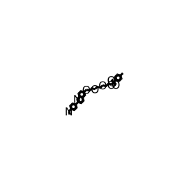 Cc1ccc(S(=O)(=O)OCCOCCOCCOc2ccc3nc(-c4ccc(N(C)C)cc4)ccc3c2)cc1